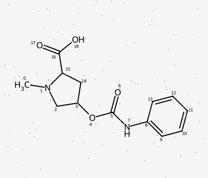 CN1CC(OC(=O)Nc2ccccc2)CC1C(=O)O